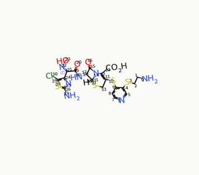 NCCSc1cnccc1SC1=C(C(=O)O)N2C(=O)[C@@H](NC(=O)/C(=N\O)c3nc(N)sc3Cl)[C@@H]2SC1